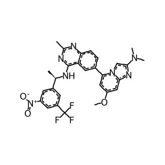 COc1cc(-c2ccc3nc(C)nc(N[C@H](C)c4cc([N+](=O)[O-])cc(C(F)(F)F)c4)c3c2)n2cc(N(C)C)nc2c1